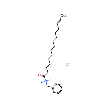 CCCCCCCCC=CCCCCCCCCCCCC(=O)[N+](C)(C)Cc1ccccc1.[Cl-]